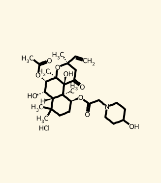 C=C[C@@]1(C)CC(=O)[C@]2(O)[C@@]3(C)[C@@H](OC(=O)CN4CCC(O)CC4)CCC(C)(C)[C@@H]3[C@H](O)[C@H](OC(C)=O)[C@@]2(C)O1.Cl